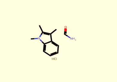 Cc1c(C)n(C)c2ccccc12.Cl.NC=O